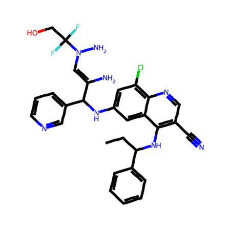 CCC(Nc1c(C#N)cnc2c(Cl)cc(NC(/C(N)=C/N(N)C(F)(F)CO)c3cccnc3)cc12)c1ccccc1